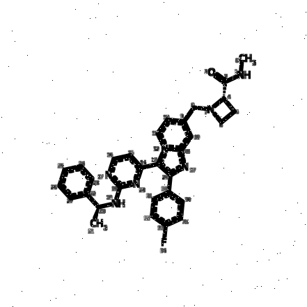 CNC(=O)[C@@H]1CCN1Cc1ccn2c(-c3ccnc(N[C@@H](C)c4ccccc4)n3)c(-c3ccc(F)cc3)nc2c1